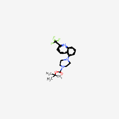 CC(C)(C)OC(=O)N1CCN(c2cccc3nc(C(F)(F)F)ccc23)CC1